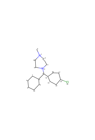 CN1CCN(C(C2CCCCC2)C2CCC(Cl)CC2)CC1